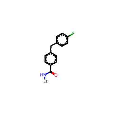 CCNC(=O)c1ccc(Cc2ccc(F)cc2)cc1